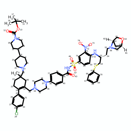 CC1(CN2CCC(C3CCN(C(=O)OC(C)(C)C)CC3)CC2)CCC(c2ccc(Cl)cc2)=C(CN2CCN(c3ccc(C(=O)NS(=O)(=O)c4ccc(N[C@H](CCN5C[C@H]6C[C@@H]5CO6)CSc5ccccc5)c([N+](=O)[O-])c4)cc3)CC2)C1